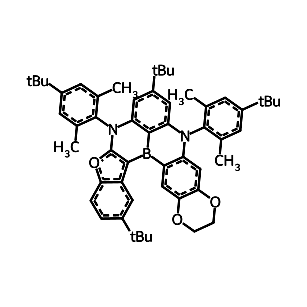 Cc1cc(C(C)(C)C)cc(C)c1N1c2cc3c(cc2B2c4c1cc(C(C)(C)C)cc4N(c1c(C)cc(C(C)(C)C)cc1C)c1oc4ccc(C(C)(C)C)cc4c12)OCCO3